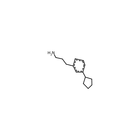 NCCCc1cccc(C2CCCC2)c1